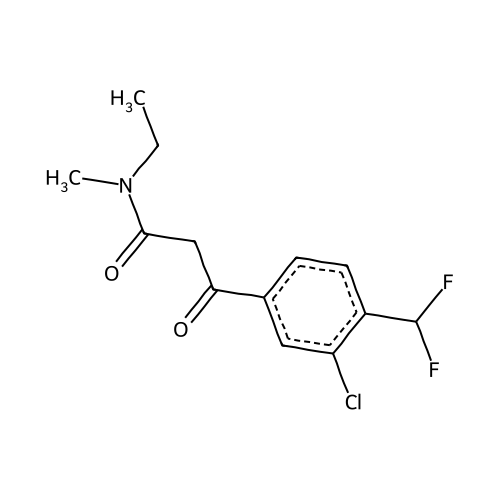 CCN(C)C(=O)CC(=O)c1ccc(C(F)F)c(Cl)c1